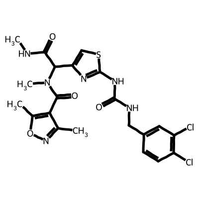 CNC(=O)C(c1csc(NC(=O)NCc2ccc(Cl)c(Cl)c2)n1)N(C)C(=O)c1c(C)noc1C